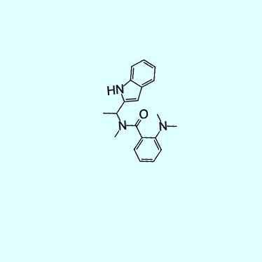 CC(c1cc2ccccc2[nH]1)N(C)C(=O)c1ccccc1N(C)C